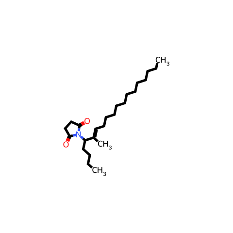 CCCCCCCCCCCCC=C(C)C(CCCC)N1C(=O)CCC1=O